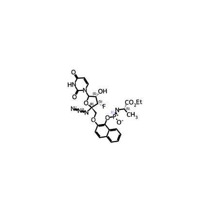 CCOC(=O)[C@H](C)/N=[P+](\[O-])Oc1c(OC[C@@]2(N=[N+]=[N-])OC(n3ccc(=O)[nH]c3=O)[C@H](O)[C@@H]2F)ccc2ccccc12